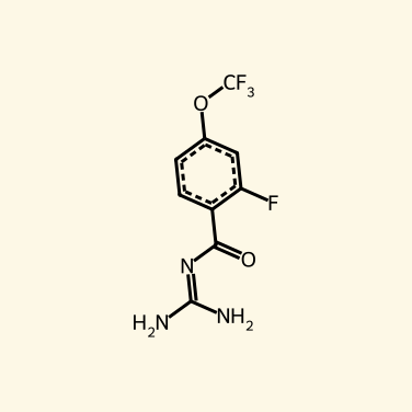 NC(N)=NC(=O)c1ccc(OC(F)(F)F)cc1F